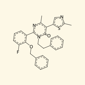 Cc1ncc(-c2c(C)nc(-c3cccc(F)c3OCc3ccccc3)n(CCc3ccccc3)c2=O)s1